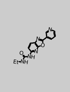 CCNC(=O)Nc1ccc2nc(-c3cccnc3)oc2n1